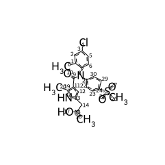 Cc1cc(Cl)ccc1N(C(=O)c1cc(C[C@H](C)O)[nH]c1C)c1ccc(S(C)(=O)=O)cc1